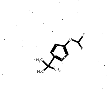 CC(C)(C)c1c[c]c(OC(F)F)cc1